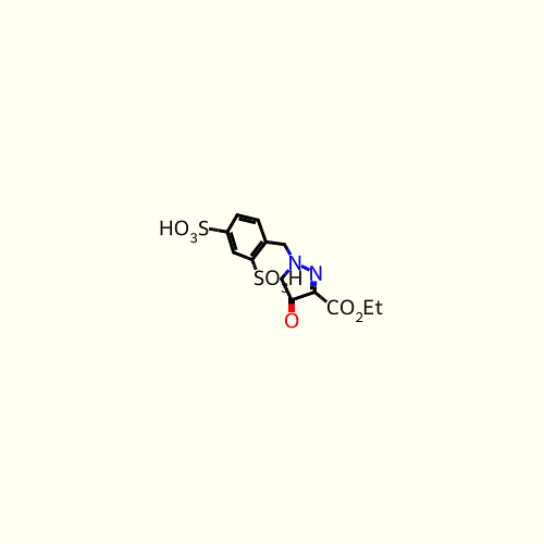 CCOC(=O)C1=NN(Cc2ccc(S(=O)(=O)O)cc2S(=O)(=O)O)CC1=O